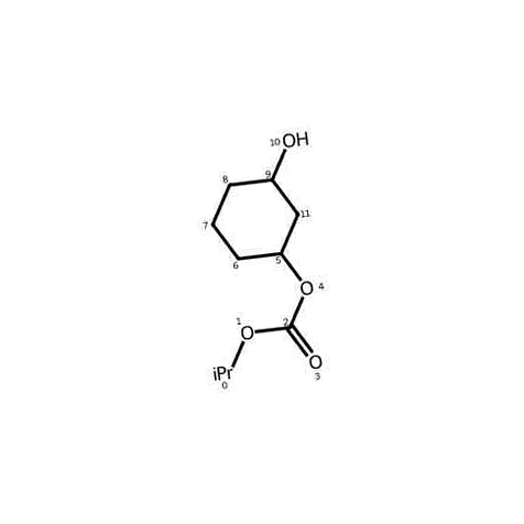 CC(C)OC(=O)OC1CCCC(O)C1